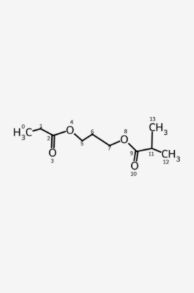 CCC(=O)OCCCOC(=O)C(C)C